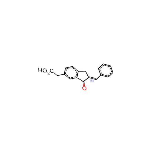 O=C(O)Cc1ccc2c(c1)C(=O)/C(=C/c1ccccc1)C2